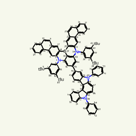 CC(C)(C)c1cc(N2c3cc4c(ccc5ccccc54)cc3B3c4cc5ccc6ccccc6c5cc4N(c4cc(C(C)(C)C)cc(C(C)(C)C)c4)c4cc(-c5ccc6c7c8c9ccccc9n(-c9ccccc9)c8ccc7n(-c7ccccc7)c6c5)cc2c43)cc(C(C)(C)C)c1